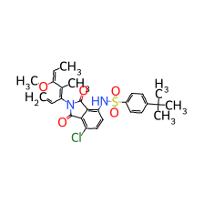 C=C/C(=C(C)\C(=C/C)OC)N1C(=O)c2c(Cl)ccc(NS(=O)(=O)c3ccc(C(C)(C)C)cc3)c2C1=O